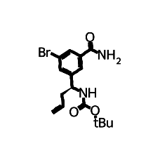 C=CC[C@H](NC(=O)OC(C)(C)C)c1cc(Br)cc(C(N)=O)c1